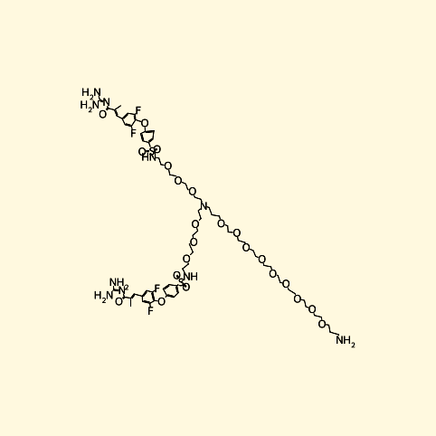 C/C(=C\c1cc(F)c(Oc2ccc(S(=O)(=O)NCCOCCOCCOCCN(CCCOCCOCCOCCOCCOCCOCCOCCOCCOCCCN)CCOCCOCCOCCNS(=O)(=O)c3ccc(Oc4c(F)cc(/C=C(\C)C(=O)N=C(N)N)cc4F)cc3)cc2)c(F)c1)C(=O)N=C(N)N